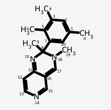 Cc1cc(C)c(C)c(C2(C)N=c3ccncc3=CN2C)c1